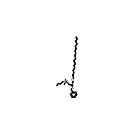 CCCCCCCCCCCCCCCCCCOC[C@H](CO[Si](C)(C)CCCC)SCc1ccccc1